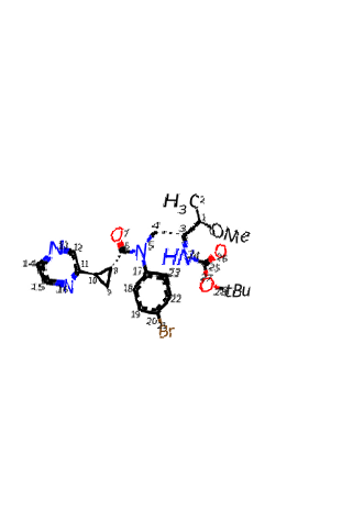 CO[C@H](C)[C@@H](CN(C(=O)[C@@H]1C[C@H]1c1cnccn1)c1ccc(Br)cc1)NC(=O)OC(C)(C)C